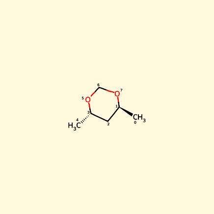 C[C@H]1C[C@H](C)OCO1